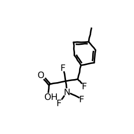 Cc1ccc(C(F)C(F)(C(=O)O)N(F)F)cc1